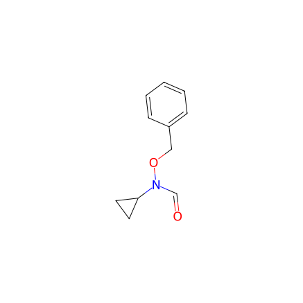 O=CN(OCc1ccccc1)C1CC1